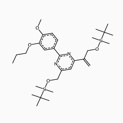 C=C(CO[Si](C)(C)C(C)(C)C)c1cc(CO[Si](C)(C)C(C)(C)C)nc(-c2ccc(OC)c(OCCC)c2)n1